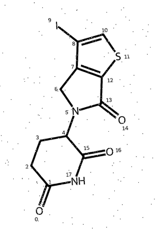 O=C1CCC(N2Cc3c(I)csc3C2=O)C(=O)N1